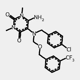 Cn1c(N)c(N(COCc2cccc(C(F)(F)F)c2)Cc2ccc(Cl)cc2)c(=O)n(C)c1=O